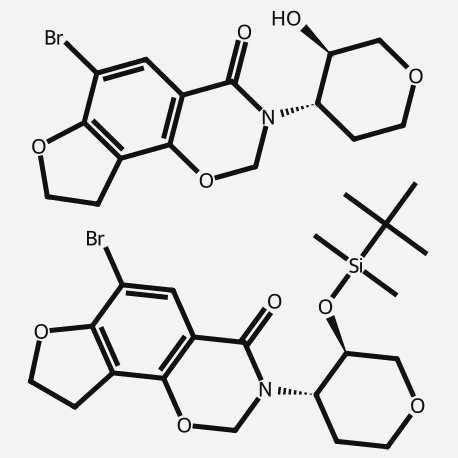 CC(C)(C)[Si](C)(C)O[C@H]1COCC[C@@H]1N1COc2c(cc(Br)c3c2CCO3)C1=O.O=C1c2cc(Br)c3c(c2OCN1[C@H]1CCOC[C@@H]1O)CCO3